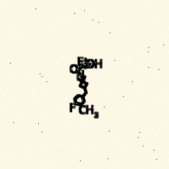 CC[C@H](CO)C(=O)N1CC2(CC(Cc3ccc(F)c(C)c3)C2)C1